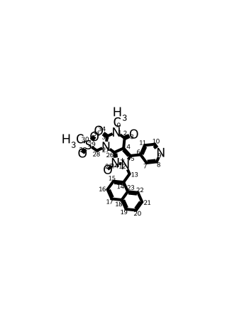 Cn1c(=O)c2c(-c3ccncc3)n(Cc3cccc4ccccc34)[n+]([O-])c2n(CS(C)(=O)=O)c1=O